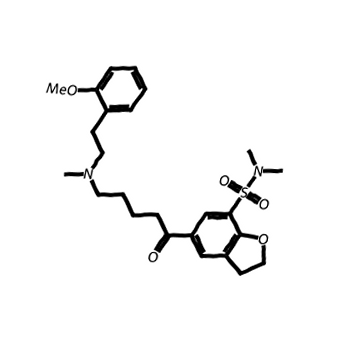 COc1ccccc1CCN(C)CCCCC(=O)c1cc2c(c(S(=O)(=O)N(C)C)c1)OCC2